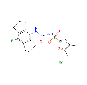 Cc1cc(S(=O)(=O)NC(=O)Nc2c3c(c(F)c4c2CCC4)CCC3)oc1CBr